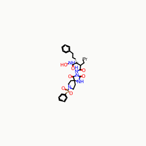 CC(C)CC(C(=O)NN1C(=O)NC2(CCN(S(=O)(=O)c3ccccc3)CC2)C1=O)[C@@H](CCCc1ccccc1)C(=O)NO